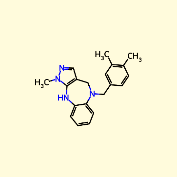 Cc1ccc(CN2Cc3cnn(C)c3Nc3ccccc32)cc1C